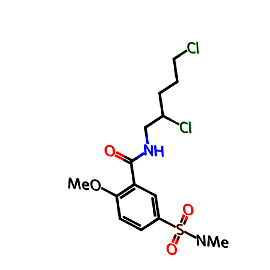 CNS(=O)(=O)c1ccc(OC)c(C(=O)NCC(Cl)CCCCl)c1